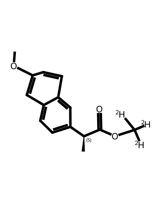 [2H]C([2H])([2H])OC(=O)[C@@H](C)c1ccc2cc(OC)ccc2c1